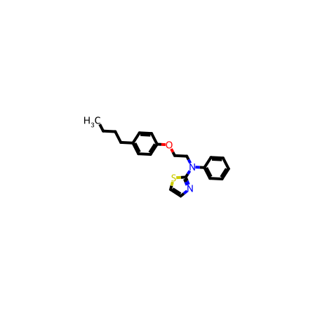 CCCCc1ccc(OCCN(c2ccccc2)c2nccs2)cc1